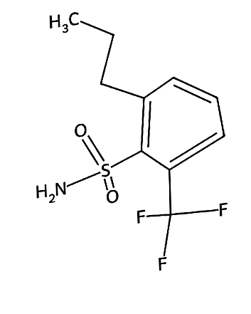 CCCc1cccc(C(F)(F)F)c1S(N)(=O)=O